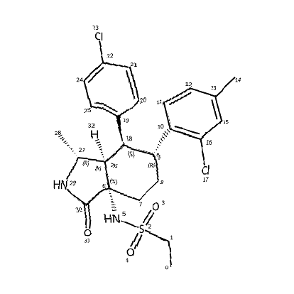 CCS(=O)(=O)N[C@@]12CC[C@@H](c3ccc(C)cc3Cl)[C@H](c3ccc(Cl)cc3)[C@@H]1[C@@H](C)NC2=O